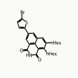 CCCCCCc1cc2cc(-c3ccc(Br)s3)cc3c2c(c1CCCCCC)C(=O)NC3=O